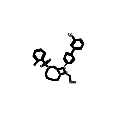 COC[C@@H]1[C@@H](c2ccc(-c3cccc(C(F)(F)F)c3)cc2)C2CN(S(=O)(=O)c3ccccc3C)CCCCN21